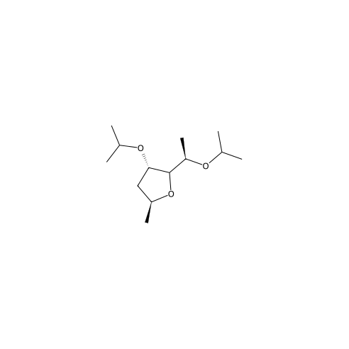 CC(C)O[C@H]1C[C@H](C)OC1[C@@H](C)OC(C)C